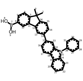 CC1(C)c2ccc(B(O)O)cc2-c2cc(-c3ccc4c5ccccc5n(-c5ccccc5)c4c3)ccc21